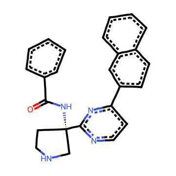 O=C(N[C@@]1(c2nccc(-c3ccc4ccccc4c3)n2)CCNC1)c1ccccc1